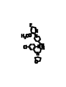 COc1cc(F)cnc1N1CCC(c2nnc3n2-c2ccc(Cl)cc2CN([C@@H]2CCOC2)C3)CC1